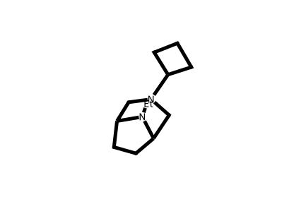 CCN1C2CCC1CN(C1CCC1)C2